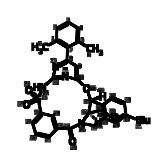 Cc1cccc(C)c1-c1cc2nc(n1)NS(=O)(=O)c1cccc(c1)C(=O)N1Cc3cc(C(C)(C)C)ccc3[C@@H](O2)[C@H]1CC(C)C